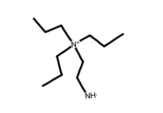 CCC[N+](CCC)(CCC)CC[NH]